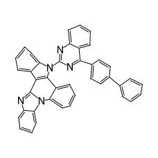 c1ccc(-c2ccc(-c3nc(-n4c5ccccc5c5c4c4ccccc4n4c6ccccc6nc54)nc4ccccc34)cc2)cc1